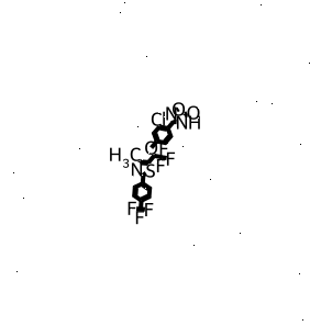 Cc1nc(-c2ccc(C(F)(F)F)cc2)sc1C(Oc1ccc(-c2noc(=O)[nH]2)c(Cl)c1)C(F)(F)F